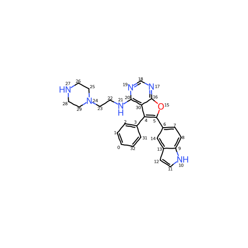 c1ccc(-c2c(-c3ccc4[nH]ccc4c3)oc3ncnc(NCCN4CCNCC4)c23)cc1